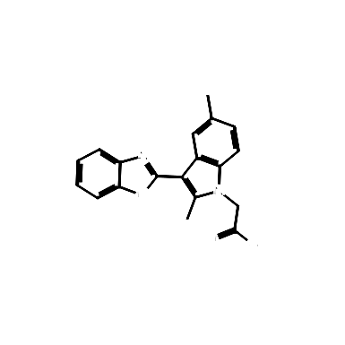 Cc1ccc2c(c1)c(-c1nc3ccccc3o1)c(C)n2CC(=O)O